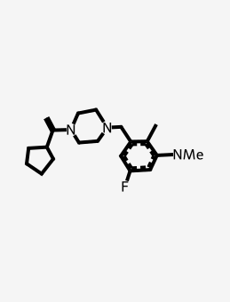 C=C(C1CCCC1)N1CCN(Cc2cc(F)cc(NC)c2C)CC1